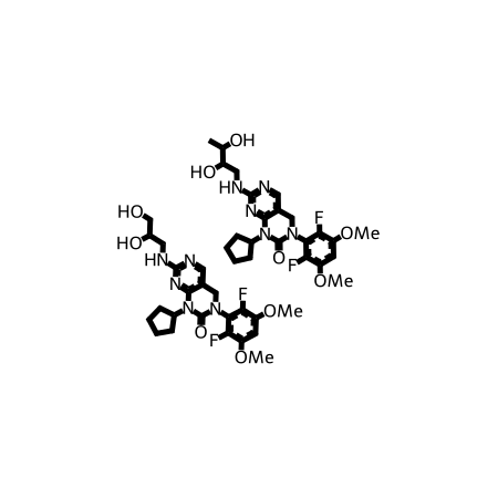 COc1cc(OC)c(F)c(N2Cc3cnc(NCC(O)C(C)O)nc3N(C3CCCC3)C2=O)c1F.COc1cc(OC)c(F)c(N2Cc3cnc(NCC(O)CO)nc3N(C3CCCC3)C2=O)c1F